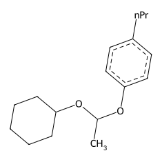 CCCc1ccc(OC(C)OC2CCCCC2)cc1